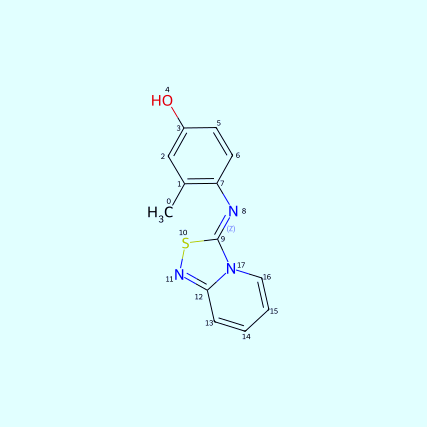 Cc1cc(O)ccc1/N=c1\snc2ccccn12